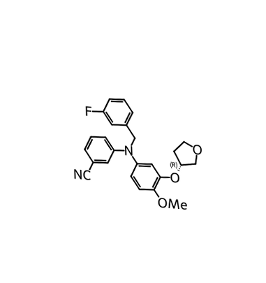 COc1ccc(N(Cc2cccc(F)c2)c2cccc(C#N)c2)cc1O[C@@H]1CCOC1